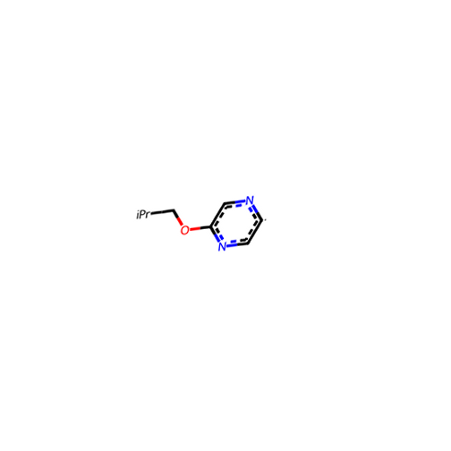 CC(C)COc1cn[c]cn1